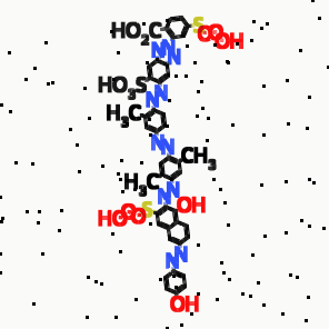 Cc1cc(N=Nc2c(SOOO)cc3cc(N=Nc4ccc(O)cc4)ccc3c2O)c(C)cc1N=Nc1ccc(N=Nc2cc3nn(-c4cc(SOOO)ccc4C(=O)O)nc3cc2S(=O)(=O)O)c(C)c1